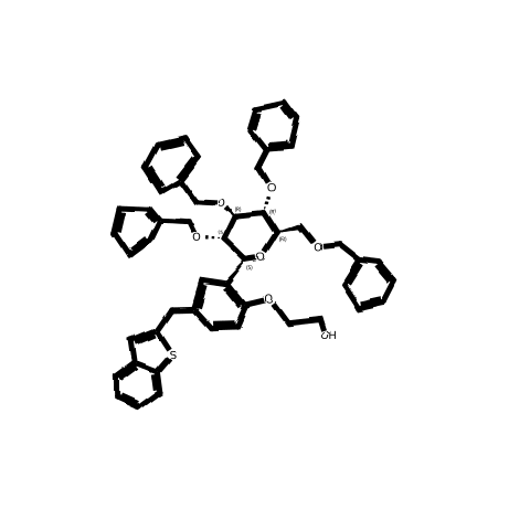 OCCOc1ccc(Cc2cc3ccccc3s2)cc1[C@@H]1O[C@H](COCc2ccccc2)[C@@H](OCc2ccccc2)[C@H](OCc2ccccc2)[C@H]1OCc1ccccc1